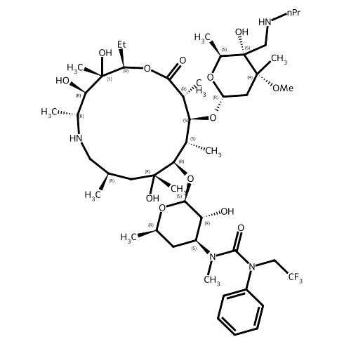 CCCNC[C@]1(O)[C@H](C)O[C@@H](O[C@H]2[C@H](C)[C@@H](O[C@@H]3O[C@H](C)C[C@H](N(C)C(=O)N(CC(F)(F)F)c4ccccc4)[C@H]3O)[C@](C)(O)C[C@@H](C)CN[C@H](C)[C@@H](O)[C@](C)(O)[C@@H](CC)OC(=O)[C@@H]2C)C[C@@]1(C)OC